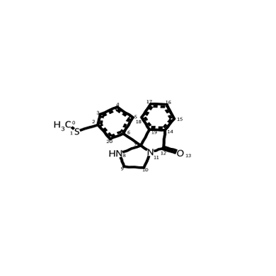 CSc1cccc(C23NCCN2C(=O)c2ccccc23)c1